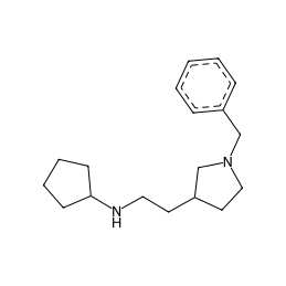 c1ccc(CN2CCC(CCNC3CCCC3)C2)cc1